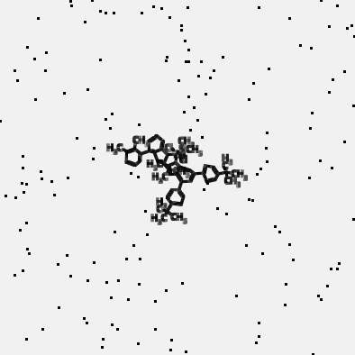 CC1=Cc2c(-c3ccc(C(C)(C)C)cc3)cc(-c3ccc(C(C)(C)C)cc3)cc2[CH]1[Zr]([Cl])([Cl])([CH]1C(C(C)C)=Cc2c(-c3cccc(C)c3C)cccc21)[SiH](C)C